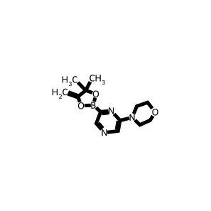 C=C1OB(c2cncc(N3CCOCC3)n2)OC1(C)C